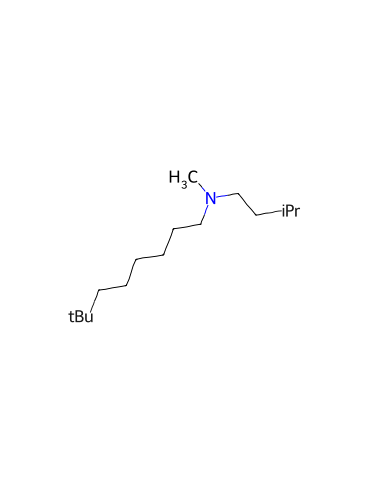 CC(C)CCN(C)CCCCCCC(C)(C)C